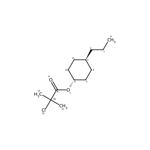 CCC[C@H]1CC[C@H](OC(=O)C(C)(C)Cl)CC1